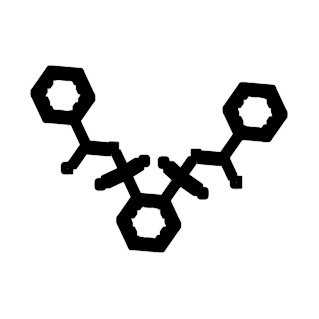 O=S(=O)(N=C(Cl)c1ccccc1)c1ccccc1S(=O)(=O)N=C(Cl)c1ccccc1